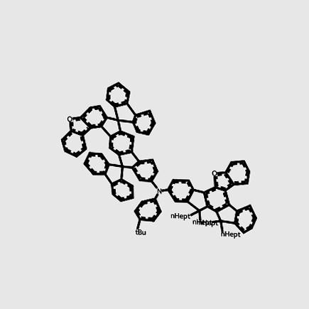 CCCCCCCC1(CCCCCCC)c2cc(N(c3ccc(C(C)(C)C)cc3)c3ccc4c(c3)C3(c5ccccc5-c5ccccc53)c3cc5c(cc3-4)C3(c4ccccc4-c4ccccc43)c3ccc4oc6ccccc6c4c3-5)ccc2-c2c1c1c(c3c2oc2ccccc23)-c2ccccc2C1(CCCCCCC)CCCCCCC